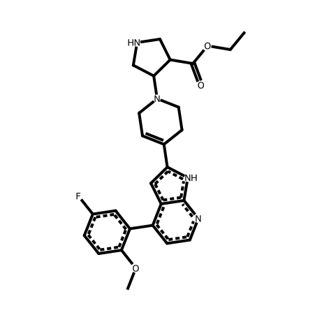 CCOC(=O)C1CNCC1N1CC=C(c2cc3c(-c4cc(F)ccc4OC)ccnc3[nH]2)CC1